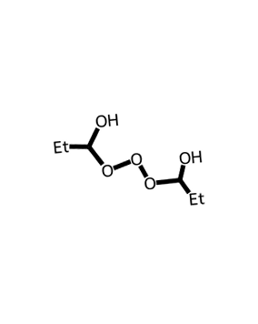 CCC(O)OOOC(O)CC